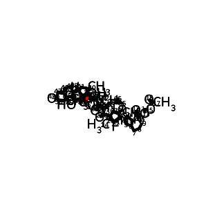 COc1c(N2CC3CCCN(C(=O)OCOC(C)=O)C3C2)c(F)c(C)c2c(=O)c(C(=O)OC(C)(C)C(=O)[C@@]3(O)[C@H](C)C[C@H]4[C@@H]5CCC6=CC(=O)C=C[C@]6(C)[C@@]5(F)[C@@H](O)C[C@@]43C)c(C)n(C3CC3)c12